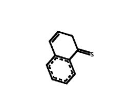 S=C1CC=Cc2ccccc21